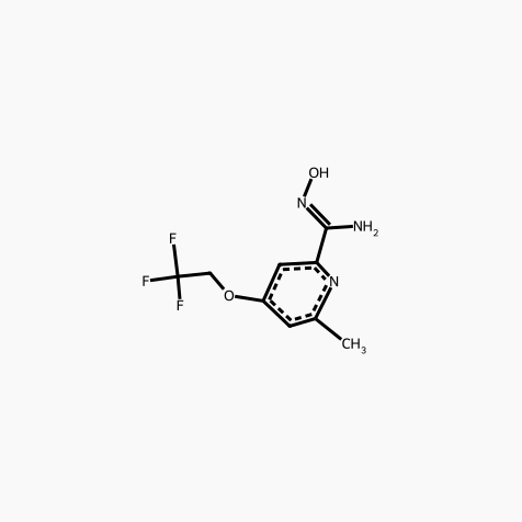 Cc1cc(OCC(F)(F)F)cc(C(N)=NO)n1